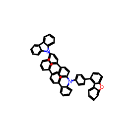 c1ccc(-c2ccc(-c3ccccc3N(c3ccc(-c4ccc(-n5c6ccccc6c6ccccc65)cc4)cc3)c3ccc(-c4cccc5oc6ccccc6c45)cc3)cc2)cc1